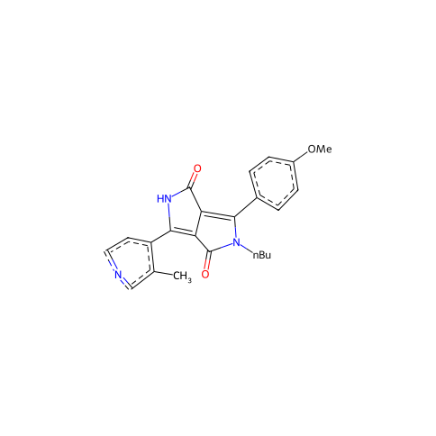 CCCCN1C(=O)C2=C(c3ccncc3C)NC(=O)C2=C1c1ccc(OC)cc1